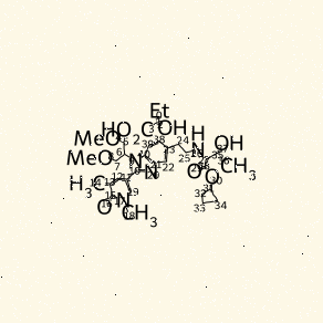 CC[C@H](O)C(=O)O.COCC(COC)n1c(-c2cc(C)c(=O)n(C)c2)nc2cc(CCN[C@H](C(=O)OC3CCC3)[C@@H](C)O)ccc21